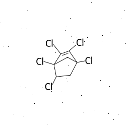 ClC1=C(Cl)C2(Cl)CC1(Cl)CC2Cl